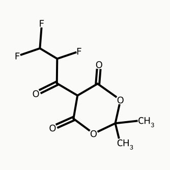 CC1(C)OC(=O)C(C(=O)C(F)C(F)F)C(=O)O1